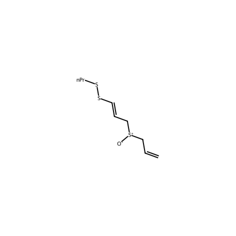 C=CC[S+]([O-])C/C=C/SSCCC